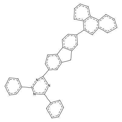 c1ccc(-c2nc(-c3ccccc3)nc(-c3ccc4c(c3)Cc3cc(-c5cc6ccccc6c6ccccc56)ccc3-4)n2)cc1